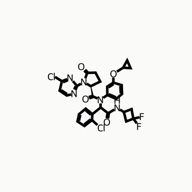 O=C(NC1CC(F)(F)C1)C(c1ccccc1Cl)N(C(=O)[C@@H]1CCC(=O)N1c1nccc(Cl)n1)c1cccc(OC2CC2)c1